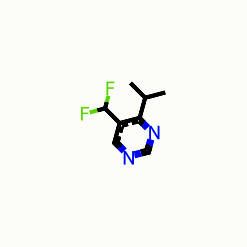 CC(C)c1ncncc1C(F)F